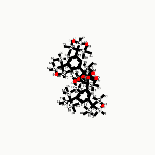 C[Si](C)(C)C(c1cc(C([Si](C)(C)C)([Si](C)(C)C)[Si](C)(C)C)c(S[CH]([BiH2])Sc2c(C([Si](C)(C)C)([Si](C)(C)C)[Si](C)(C)C)cc(C([Si](C)(C)C)([Si](C)(C)C)[Si](C)(C)C)cc2C([Si](C)(C)C)([Si](C)(C)C)[Si](C)(C)C)c(C([Si](C)(C)C)([Si](C)(C)C)[Si](C)(C)C)c1)([Si](C)(C)C)[Si](C)(C)C